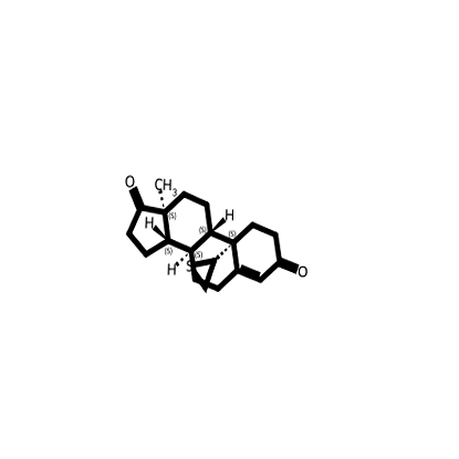 C[C@]12CC[C@H]3[C@@H](CCC4=CC(=O)CC[C@@]43C3CS3)[C@@H]1CCC2=O